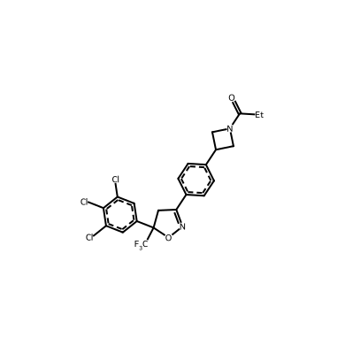 CCC(=O)N1CC(c2ccc(C3=NOC(c4cc(Cl)c(Cl)c(Cl)c4)(C(F)(F)F)C3)cc2)C1